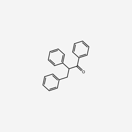 O=C(c1ccccc1)C(Cc1ccccc1)c1ccccc1